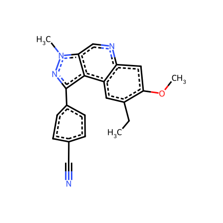 CCc1cc2c(cc1OC)ncc1c2c(-c2ccc(C#N)cc2)nn1C